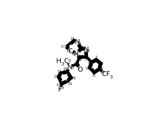 CN(C(=O)c1c(-c2ccc(C(F)(F)F)cc2)nc2ncccn12)c1ccc(F)cc1